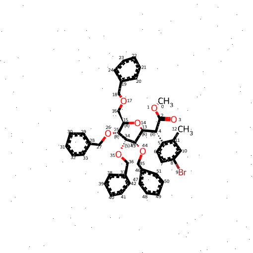 COC(=O)[C@H](c1ccc(Br)cc1C)[C@H]1O[C@H](COCc2ccccc2)[C@@H](OCc2ccccc2)[C@@H](OCc2ccccc2)[C@H]1OCc1ccccc1